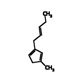 CCC=CCC1=CCC(C)=C1